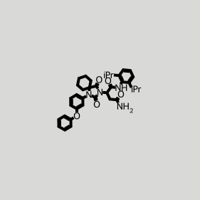 CC(C)c1cccc(C(C)C)c1NC(=O)C(CC(N)=O)N1C(=O)N(c2cccc(Oc3ccccc3)c2)C2(CCCCC2)C1=O